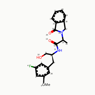 COc1cc(F)cc(C[C@@H](CO)NC(=O)C(C)N2Cc3ccccc3C2=O)c1